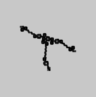 C=CC(=O)OCCCCCCOc1ccc(C(=O)Oc2ccc(OC(=O)c3ccc(OCCCCCCOC(=O)C=C)cc3)c(C(=O)OCCCCCCCCOc3ccc(C#N)cc3)c2)cc1